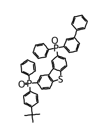 CC(C)(C)c1ccc(P(=O)(c2ccccc2)c2ccc3sc4ccc(P(=O)(c5ccccc5)c5cccc(-c6ccccc6)c5)cc4c3c2)cc1